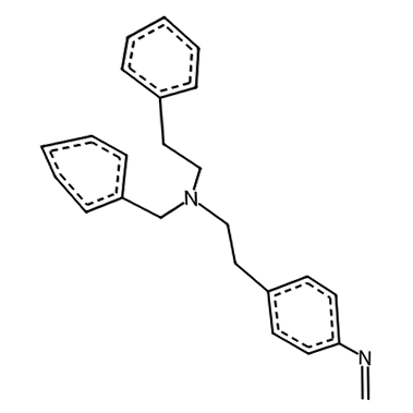 C=Nc1ccc(CCN(CCc2ccccc2)Cc2ccccc2)cc1